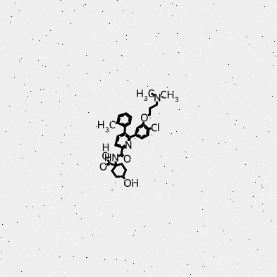 Cc1ccccc1-c1ccc(C(=O)NC2(C(=O)O)CCC(O)CC2)nc1-c1ccc(Cl)c(OCCCN(C)C)c1